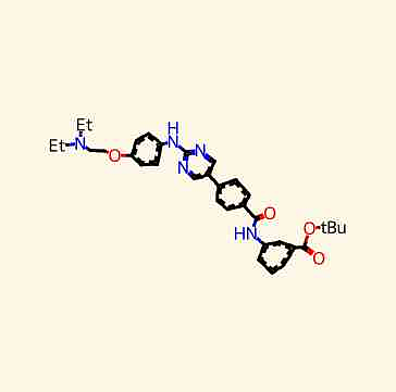 CCN(CC)CCOc1ccc(Nc2ncc(-c3ccc(C(=O)Nc4cccc(C(=O)OC(C)(C)C)c4)cc3)cn2)cc1